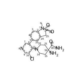 CN1c2ccc(-c3cncc(Cl)c3N3CCC(N)(C(N)=O)CC3)cc2CS1(=O)=O